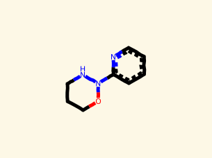 c1ccc(N2NCCCO2)nc1